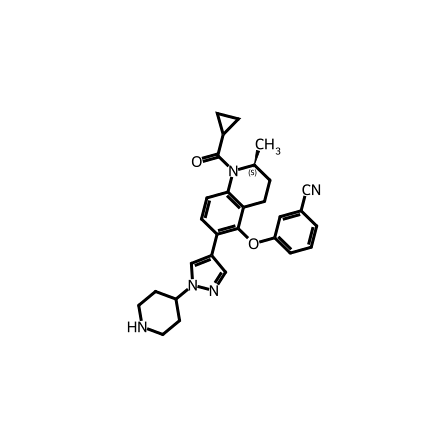 C[C@H]1CCc2c(ccc(-c3cnn(C4CCNCC4)c3)c2Oc2cccc(C#N)c2)N1C(=O)C1CC1